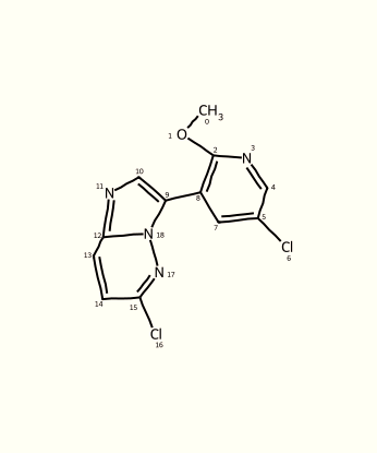 COc1ncc(Cl)cc1-c1cnc2ccc(Cl)nn12